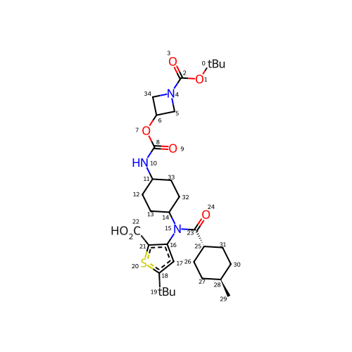 CC(C)(C)OC(=O)N1CC(OC(=O)NC2CCC(N(c3cc(C(C)(C)C)sc3C(=O)O)C(=O)[C@H]3CC[C@H](C)CC3)CC2)C1